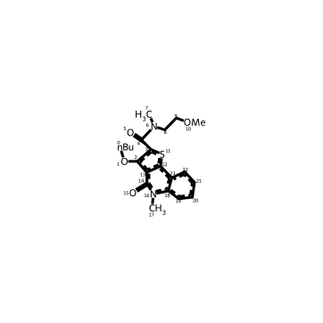 CCCCOc1c(C(=O)N(C)CCOC)sc2c1c(=O)n(C)c1ccccc21